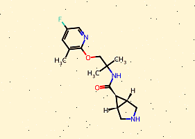 Cc1cc(F)cnc1OCC(C)(C)NC(=O)[C@H]1[C@@H]2CNC[C@@H]21